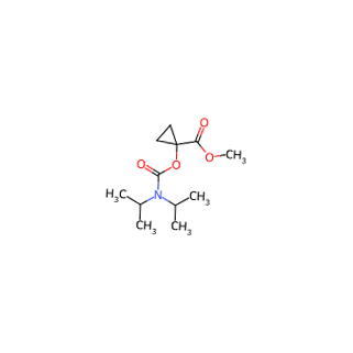 COC(=O)C1(OC(=O)N(C(C)C)C(C)C)CC1